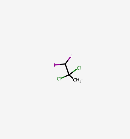 [CH2]C(Cl)(Cl)C(I)I